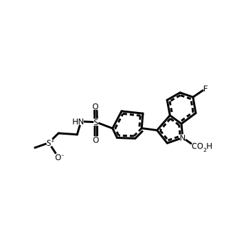 C[S+]([O-])CCNS(=O)(=O)c1ccc(-c2cn(C(=O)O)c3cc(F)ccc23)cc1